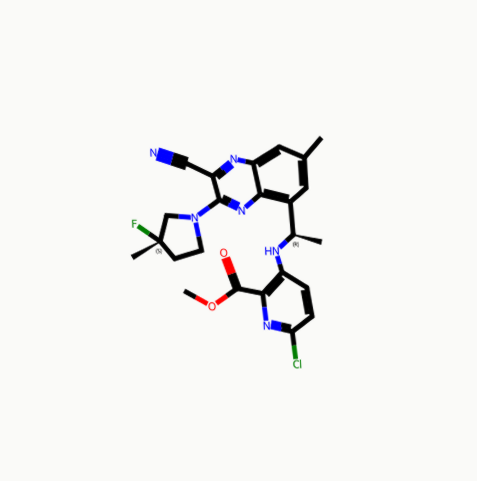 COC(=O)c1nc(Cl)ccc1N[C@H](C)c1cc(C)cc2nc(C#N)c(N3CC[C@](C)(F)C3)nc12